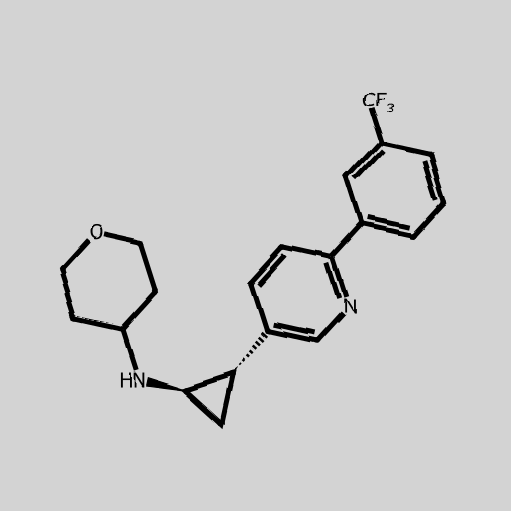 FC(F)(F)c1cccc(-c2ccc([C@@H]3C[C@H]3NC3CCOCC3)cn2)c1